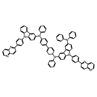 C1=CC(N(c2ccccc2)c2ccc3c(c2)c2cc(N(c4ccccc4)c4ccccc4)ccc2n3-c2ccc(-c3ccc4ncccc4n3)cc2)CC=C1c1ccc(N(c2ccccc2)c2ccc3c(c2)c2ccccc2n3-c2ccc(-c3ccc4ncccc4n3)cc2)cc1